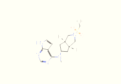 CN(c1ncnc2[nH]ccc12)[C@H]1C[C@@H]2CN(S(=O)(=O)CC(F)(F)F)C[C@@H]2C1